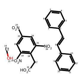 C(=Cc1ccccc1)c1ccccc1.CCO.O=C(O)Cc1c([N+](=O)[O-])cc([N+](=O)[O-])cc1[N+](=O)[O-]